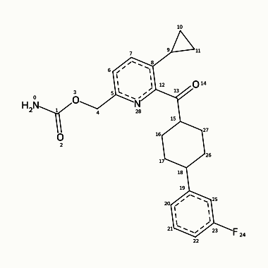 NC(=O)OCc1ccc(C2CC2)c(C(=O)C2CCC(c3cccc(F)c3)CC2)n1